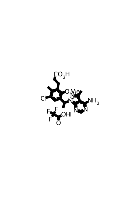 COc1c(C(C)n2nc(C)c3c(N)ncnc32)cc(Cl)c(C)c1CCC(=O)O.O=C(O)C(F)(F)F